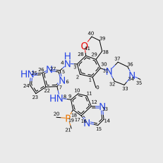 Cc1cc(Nc2nc(Nc3ccc4nccnc4c3P(C)C)c3cc[nH]c3n2)c2c(c1N1CCN(C)CC1)CCCO2